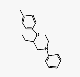 CCC(CN(CC)c1ccccc1)Oc1ccc(C)cc1